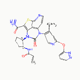 C=CC(=O)N[C@H]1CCC[C@H]1N1C(=O)N(c2cnc(Oc3cccnn3)cc2C)c2ccnc3sc(C(N)=O)c1c23